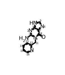 Nc1nc2[nH]cnc2c(=O)n1Cc1ccccn1